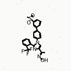 C/C(=N\O)c1cn(-c2ccc(-c3cccc(S(C)(=O)=O)c3)cc2)c(-c2ccccc2C(F)(F)F)n1